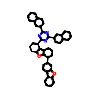 C1=C(c2nc(-c3ccc4ccccc4c3)nc(-c3ccc4ccccc4c3)n2)c2c(oc3c(-c4ccc5c(c4)oc4ccccc45)cccc23)CC1